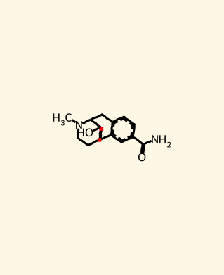 CN1CCC23CCCCC2(O)C1Cc1ccc(C(N)=O)cc13